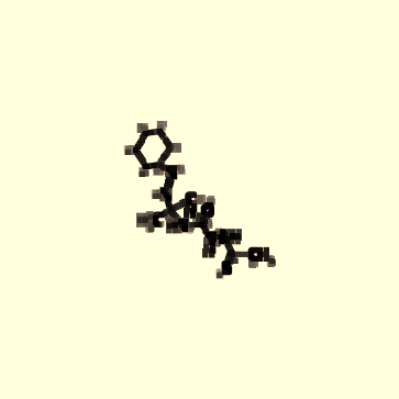 CC(=S)NNC(=O)NC(C)(C)N=NC1CCCCC1